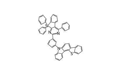 c1ccc(-c2nc(-c3cccc(-n4c5ccccc5c5c6sc7ccccc7c6ccc54)c3)nc3c2-c2ccccc2[Si]3(c2ccccc2)c2ccccc2)cc1